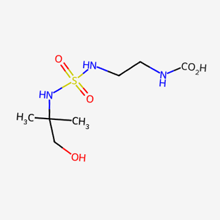 CC(C)(CO)NS(=O)(=O)NCCNC(=O)O